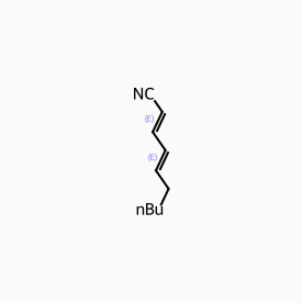 CCCCC/C=C/C=C/C#N